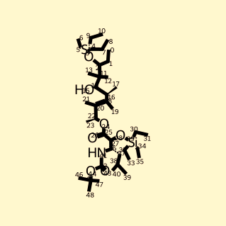 CCC(O[Si](CC)(CC)CC)C(C)(C)[C@@H](O)[C@@H](C)/C(C)=C(\C)[C@H](C)OC(=O)C(O[Si](CC)(CC)CC)[C@H](CC(C)C)NC(=O)OC(C)(C)C